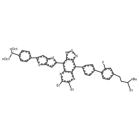 CCCCCCCCN(CCCCCCCC)c1ccc(-c2cc3sc(-c4c5nsnc5c(-c5ccc(-c6ccc(CCC(CC)CCCC)cc6F)cc5)c5nc(CC)c(CC)nc45)cc3s2)cc1